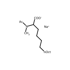 CCCCCCCCCCCCC(C(=O)[O-])N(C)C(C)=O.[Na+]